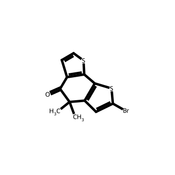 CC1(C)C(=O)c2ccsc2-c2sc(Br)cc21